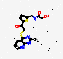 Cc1nc(SCC(=O)c2ccc(CNC(=O)CO)s2)c2cccnc2n1